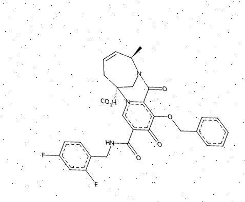 C[C@@H]1C=CC[C@@]2(C(=O)O)CN1C(=O)c1c(OCc3ccccc3)c(=O)c(C(=O)NCc3ccc(F)cc3F)cn12